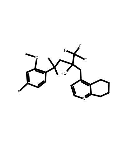 COc1cc(F)ccc1C(C)(C)CC(O)(Cc1ccnc2c1CCCC2)C(F)(F)F